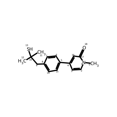 Cn1ccc(-c2ccc(CC(C)(C)S)cc2)cc1=O